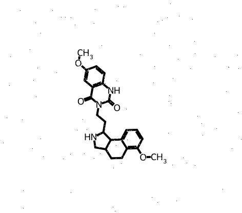 COc1ccc2[nH]c(=O)n(CCC3NCC4CCc5c(OC)cccc5C43)c(=O)c2c1